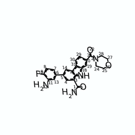 NC(=O)c1cc(-c2ccc(F)c(N)c2)cc2c1[nH]c1cc(C(=O)N3CCOCC3)ccc12